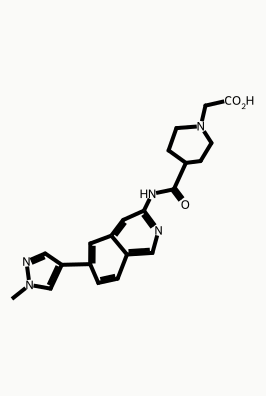 Cn1cc(-c2ccc3cnc(NC(=O)C4CCN(CC(=O)O)CC4)cc3c2)cn1